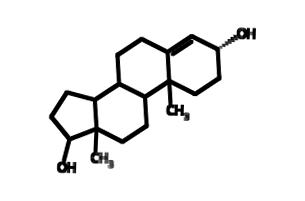 CC12CC[C@@H](O)C=C1CCC1C2CCC2(C)C(O)CCC12